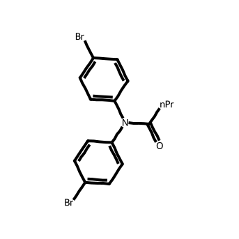 CCCC(=O)N(c1ccc(Br)cc1)c1ccc(Br)cc1